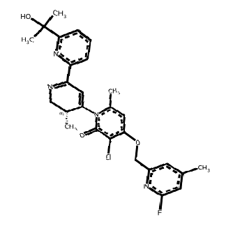 Cc1cc(F)nc(COc2cc(C)n(C3=CC(c4cccc(C(C)(C)O)n4)=NC[C@H]3C)c(=O)c2Cl)c1